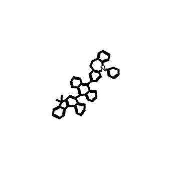 CC1(C)c2ccccc2-c2c1cc(-c1c3ccccc3c(-c3ccc4c(c3)CCc3ccccc3N4C3=CC=CCC3)c3ccccc13)c1ccccc21